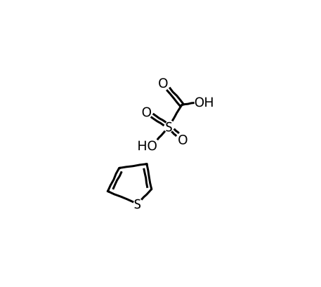 O=C(O)S(=O)(=O)O.c1ccsc1